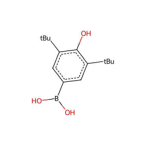 CC(C)(C)c1cc(B(O)O)cc(C(C)(C)C)c1O